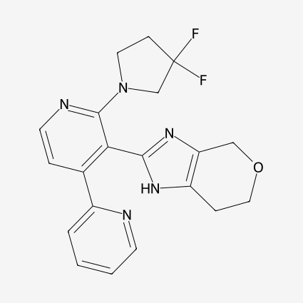 FC1(F)CCN(c2nccc(-c3ccccn3)c2-c2nc3c([nH]2)CCOC3)C1